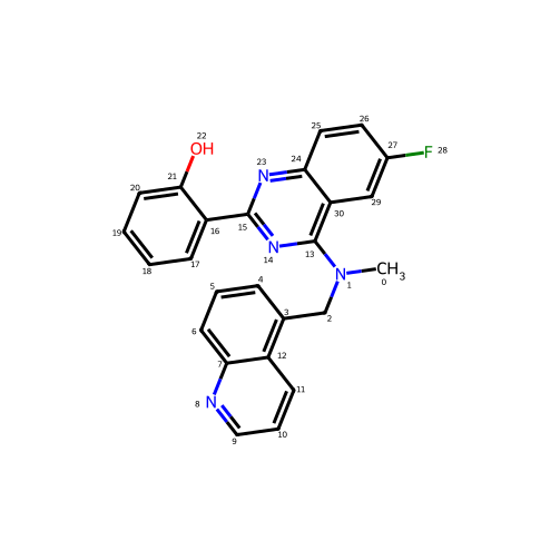 CN(Cc1cccc2ncccc12)c1nc(-c2ccccc2O)nc2ccc(F)cc12